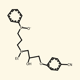 CCN(CCC[S+]([O-])c1ccccc1)CC(O)COc1ccc(C#N)cc1